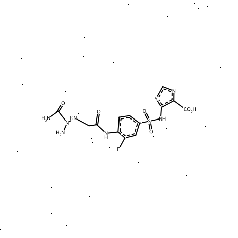 NC(=O)N(N)NCC(=O)Nc1ccc(S(=O)(=O)Nc2scnc2C(=O)O)cc1F